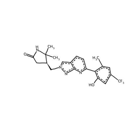 Cc1cc(C(F)(F)F)cc(O)c1-c1ccc2cn(C[C@H]3CC(=O)NC3(C)C)nc2n1